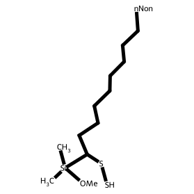 CCCCCCCCCCCCCCCCCC(SS)[Si](C)(C)OC